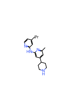 Cc1cc(C2CCNCC2)cc(Nc2cc(C(C)C)ccn2)n1